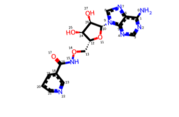 Nc1ncnc2c1ncn2[C@@H]1O[C@H](CONC(=O)c2cccnc2)[C@@H](O)[C@H]1O